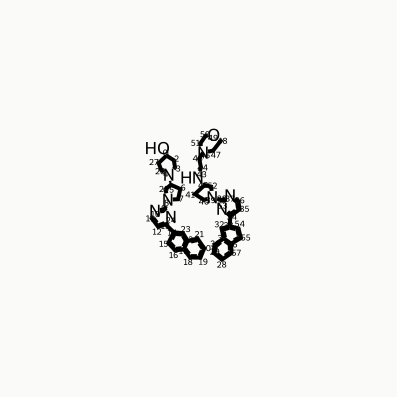 OC1CCN([C@H]2CCN(c3nccc(-c4ccc5ccccc5c4)n3)C2)CC1.c1ccc2cc(-c3ccnc(N4CC[C@H](NCCN5CCOCC5)C4)n3)ccc2c1